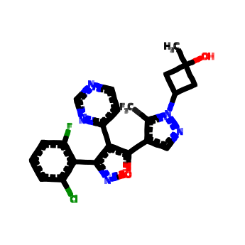 CC1(O)CC(n2ncc(-c3onc(-c4c(F)cccc4Cl)c3-c3ccncn3)c2C(F)(F)F)C1